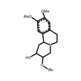 COc1cc2c(cc1OC)C1CC(O)C(OC(C)(C)C)CN1CC2